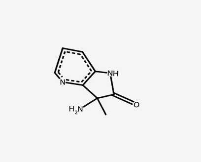 CC1(N)C(=O)Nc2cccnc21